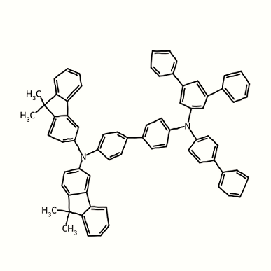 CC1(C)c2ccccc2-c2cc(N(c3ccc(-c4ccc(N(c5ccc(-c6ccccc6)cc5)c5cc(-c6ccccc6)cc(-c6ccccc6)c5)cc4)cc3)c3ccc4c(c3)-c3ccccc3C4(C)C)ccc21